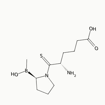 CB(O)[C@@H]1CCCN1C(=S)[C@@H](N)CCCC(=O)O